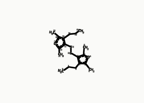 CCCc1c(C)oc(C)c1SSc1c(C)oc(C)c1CCC